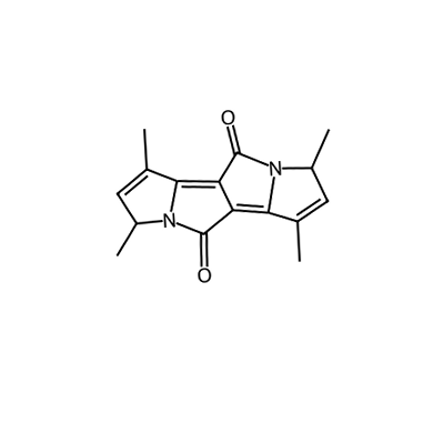 CC1=CC(C)N2C(=O)C3=C4C(C)=CC(C)N4C(=O)C3=C12